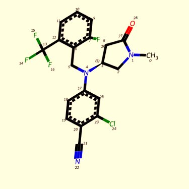 CN1C[C@@H](N(Cc2c(F)cccc2C(F)(F)F)c2ccc(C#N)c(Cl)c2)CC1=O